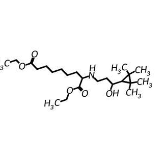 CCOC(=O)CCCCCCC(NCCC(O)C1C(C)(C)C1(C)C)C(=O)OCC